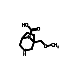 COCC12CCC(CNC1)N2C(=O)O